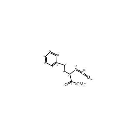 COC(=O)C(CCc1ccccc1)N=C=O